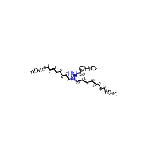 CCCCCCCCCCCCCCCCCCN(CCCCCCCCCCCCCCCCCC)NC[C]=O